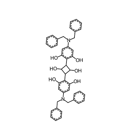 Oc1cc(N(Cc2ccccc2)Cc2ccccc2)cc(O)c1C1C(O)C(c2c(O)cc(N(Cc3ccccc3)Cc3ccccc3)cc2O)C1O